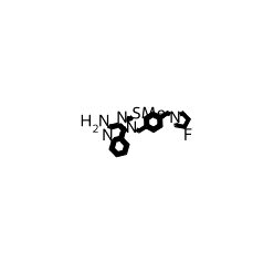 CSc1nc2c(N)nc3ccccc3c2n1Cc1ccc(CN2CC[C@@H](F)C2)cc1